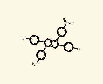 Cc1ccc(-c2cc3c(cc(-c4ccc(C)cc4)n3-c3ccc([N+](=O)[O-])cc3)n2-c2ccc(N)cc2)cc1